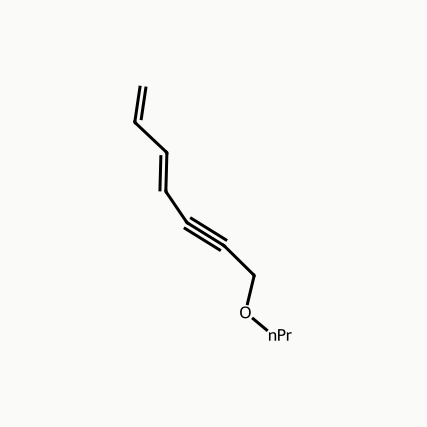 C=CC=CC#CCOCCC